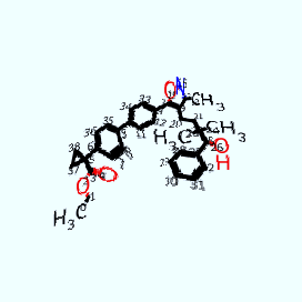 CCOC(=O)C1(c2ccc(-c3ccc(-c4onc(C)c4CCC(C)(C)C(O)c4ccccc4)cc3)cc2)CC1